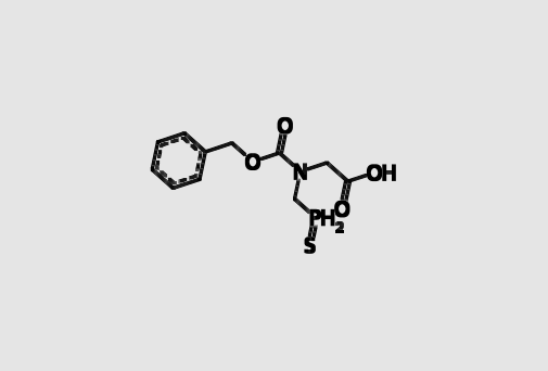 O=C(O)CN(C[PH2]=S)C(=O)OCc1ccccc1